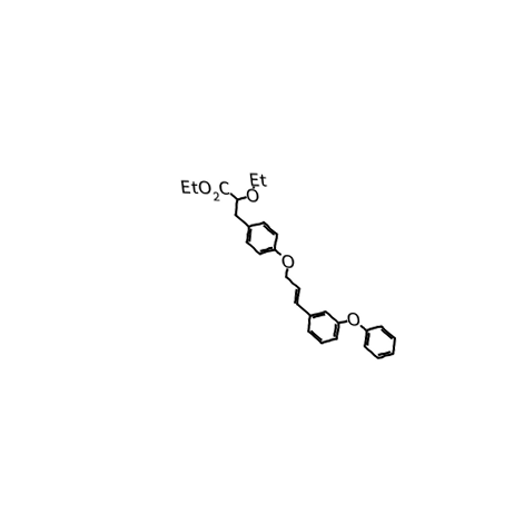 CCOC(=O)C(Cc1ccc(OCC=Cc2cccc(Oc3ccccc3)c2)cc1)OCC